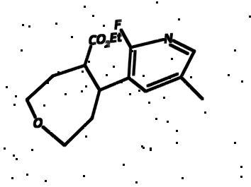 CCOC(=O)C1CCOCCC1c1cc(C)cnc1F